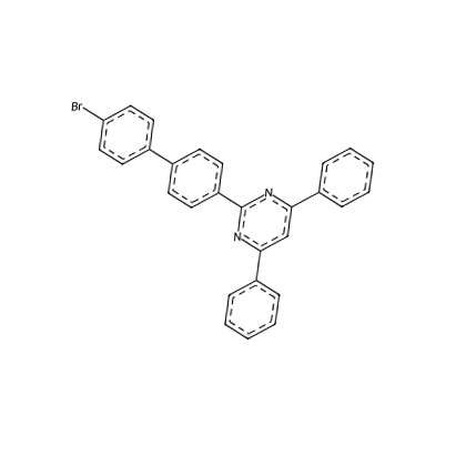 Brc1ccc(-c2ccc(-c3nc(-c4ccccc4)cc(-c4ccccc4)n3)cc2)cc1